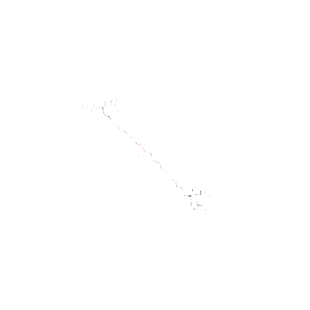 CC(C)CCCCCCCCCCC(=O)OCCCCCCCCCC(C)C